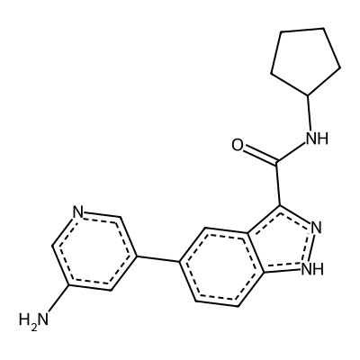 Nc1cncc(-c2ccc3[nH]nc(C(=O)NC4CCCC4)c3c2)c1